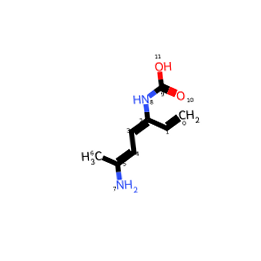 C=C/C(=C\C=C(/C)N)NC(=O)O